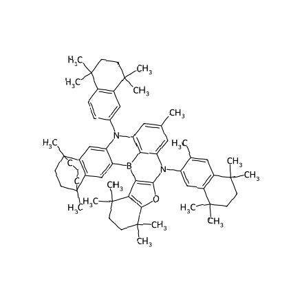 Cc1cc2c3c(c1)N(c1cc4c(cc1C)C(C)(C)CCC4(C)C)c1oc4c(c1B3c1cc3c(cc1N2c1ccc2c(c1)C(C)(C)CCC2(C)C)C1(C)CCCC3(C)CC1)C(C)(C)CCC4(C)C